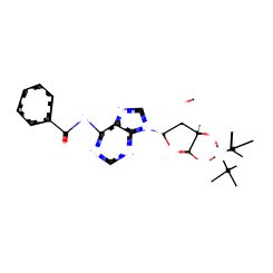 CO[C@@H]1[C@@H]2O[Si](C(C)(C)C)(C(C)(C)C)O[C@H]2O[C@H]1n1cnc2c(NC(=O)c3ccccc3)ncnc21